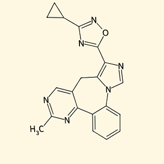 Cc1ncc2c(n1)-c1ccccc1-n1cnc(-c3nc(C4CC4)no3)c1C2